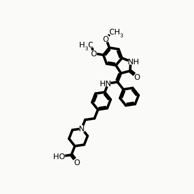 COc1cc2c(cc1OC)C(=C(Nc1ccc(CCN3CCC(C(=O)O)CC3)cc1)c1ccccc1)C(=O)N2